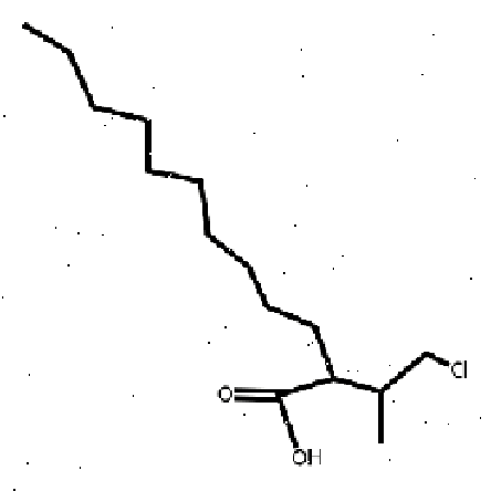 CCCCCCCCCCC(C(=O)O)C(C)CCl